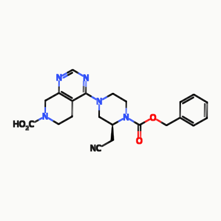 N#CC[C@H]1CN(c2ncnc3c2CCN(C(=O)O)C3)CCN1C(=O)OCc1ccccc1